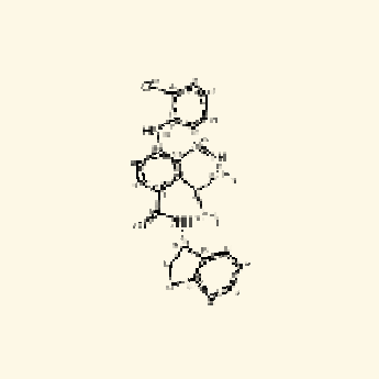 CC(C)c1c(C(=O)N[C@H]2CCc3ccccc32)ccc(Nc2ccccc2Cl)c1N=N